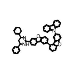 C1=CCCC(C2CC(c3ccccc3)NC(c3ccc4c(c3)oc3ccc(-c5cccc6oc7ccc(-n8c9ccccc9c9ccccc98)cc7c56)cc34)=N2)=C1